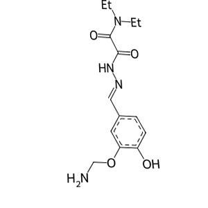 CCN(CC)C(=O)C(=O)NN=Cc1ccc(O)c(OCN)c1